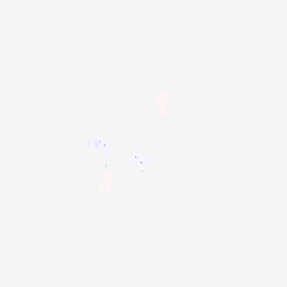 CC(C)C(=O)c1c[nH]c(=O)[nH]1